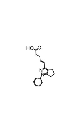 O=C(O)CC/C=C/c1nn(-c2ccccc2)c2c1CCC2